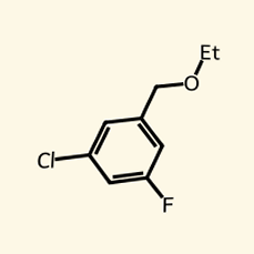 CCOCc1cc(F)cc(Cl)c1